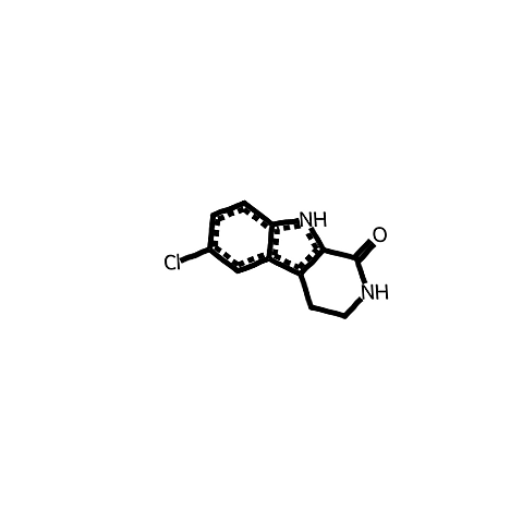 O=C1NCCc2c1[nH]c1ccc(Cl)cc21